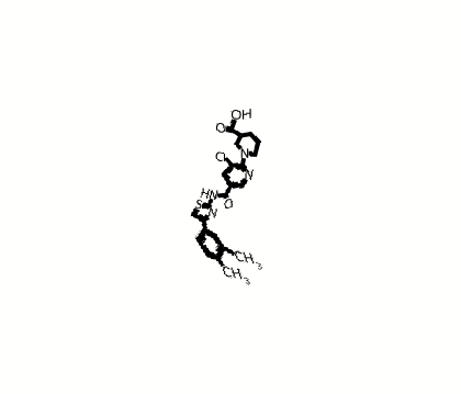 Cc1ccc(-c2csc(NC(=O)c3cnc(N4CCCC(C(=O)O)C4)c(Cl)c3)n2)cc1C